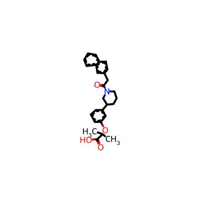 CC(C)(Oc1cccc(C2CCCN(C(=O)Cc3ccc4ccccc4c3)C2)c1)C(=O)O